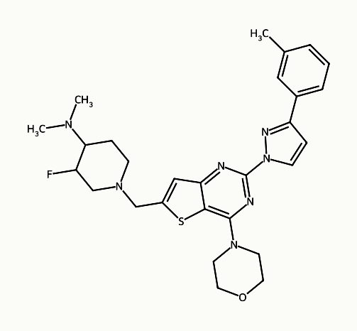 Cc1cccc(-c2ccn(-c3nc(N4CCOCC4)c4sc(CN5CCC(N(C)C)C(F)C5)cc4n3)n2)c1